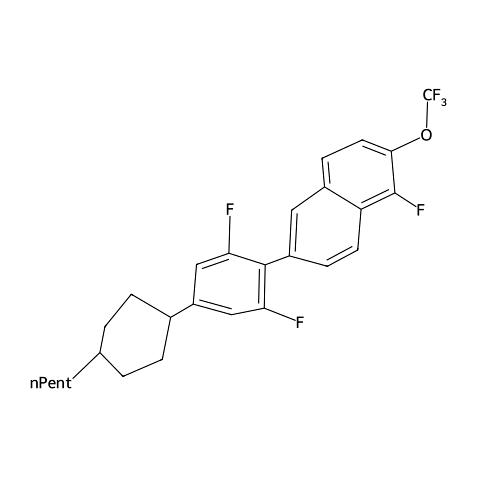 CCCCCC1CCC(c2cc(F)c(-c3ccc4c(F)c(OC(F)(F)F)ccc4c3)c(F)c2)CC1